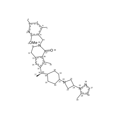 COc1nc(C)cc(C)c1CN1CCc2sc([C@H](C)C3CCC(N4CC(n5nccc5C)C4)CC3)c(C)c2C1=O